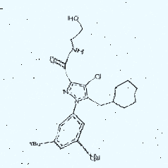 CC(C)(C)c1cc(-n2nc(C(=O)NCCO)c(Cl)c2CC2CCCCC2)cc(C(C)(C)C)c1